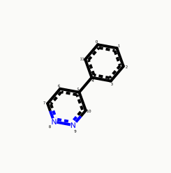 [c]1cccc(-c2ccnnc2)c1